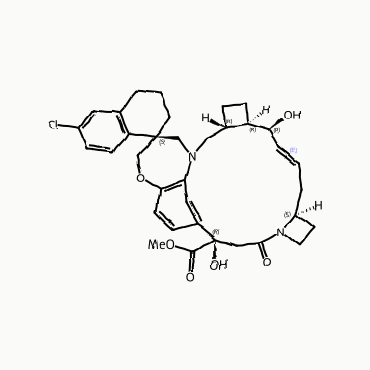 COC(=O)[C@@]1(O)CC(=O)N2CC[C@@H]2C/C=C/[C@H](O)[C@@H]2CC[C@H]2CN2C[C@@]3(CCCc4cc(Cl)ccc43)COc3ccc1cc32